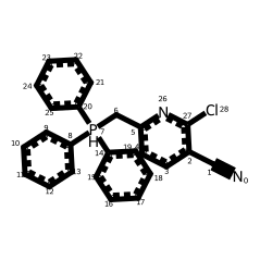 N#Cc1ccc(C[PH](c2ccccc2)(c2ccccc2)c2ccccc2)nc1Cl